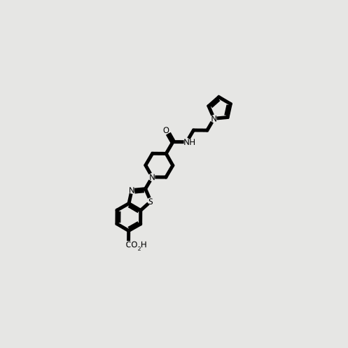 O=C(O)c1ccc2nc(N3CCC(C(=O)NCCn4cccc4)CC3)sc2c1